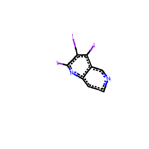 Ic1nc2ccncc2c(I)c1I